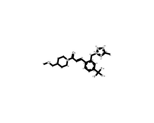 COCC1CCN(C(=O)C=Cc2ccc(C(F)(F)F)cc2Cn2nnc(C)n2)CC1